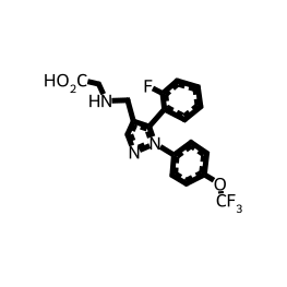 O=C(O)CNCc1cnn(-c2ccc(OC(F)(F)F)cc2)c1-c1ccccc1F